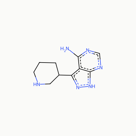 Nc1ncnc2[nH]nc(C3CCCNC3)c12